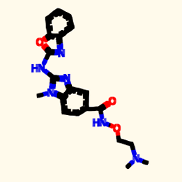 CN(C)CCONC(=O)c1ccc2c(c1)nc(Nc1nc3ccccc3o1)n2C